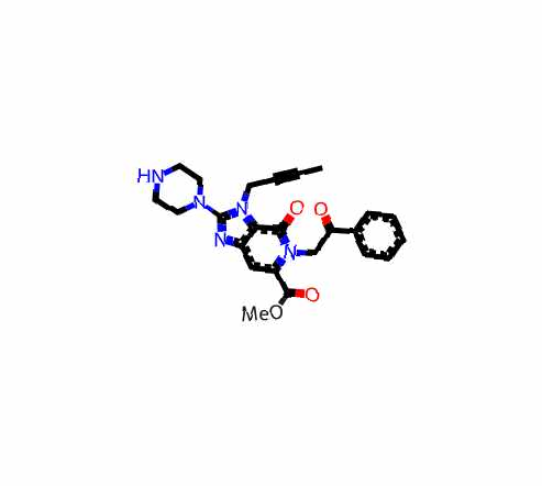 CC#CCn1c(N2CCNCC2)nc2cc(C(=O)OC)n(CC(=O)c3ccccc3)c(=O)c21